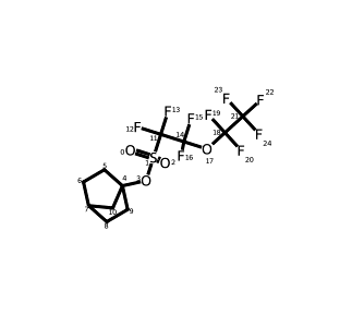 O=S(=O)(OC12CCC(CC1)C2)C(F)(F)C(F)(F)OC(F)(F)C(F)(F)F